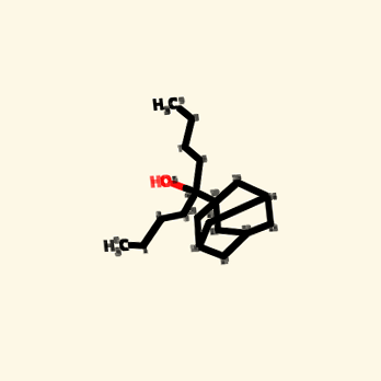 CCCCC(O)(CCCC)C12CC3CC(CC(C3)C1)C2